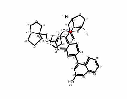 O=C(OC1CCOC1)N1[C@@H]2CC[C@H]1CN(c1nc(OCC34CCCN3CCC4)nc3cc(-c4cc(O)cc5ccccc45)ccc13)C2